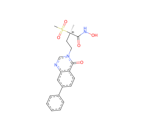 C[C@@](CCn1cnc2cc(-c3ccccc3)ccc2c1=O)(C(=O)NO)S(C)(=O)=O